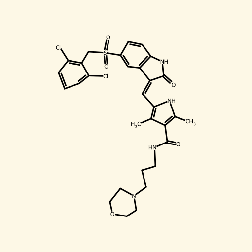 Cc1[nH]c(/C=C2\C(=O)Nc3ccc(S(=O)(=O)Cc4c(Cl)cccc4Cl)cc32)c(C)c1C(=O)NCCCN1CCOCC1